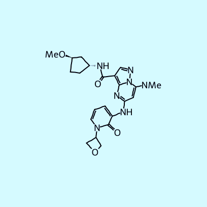 CNc1cc(Nc2cccn(C3COC3)c2=O)nc2c(C(=O)N[C@@H]3CC[C@@H](OC)C3)cnn12